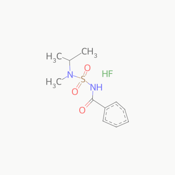 CC(C)N(C)S(=O)(=O)NC(=O)c1ccccc1.F